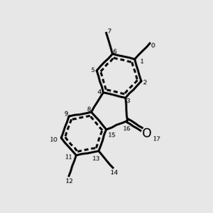 Cc1cc2c(cc1C)-c1ccc(C)c(C)c1C2=O